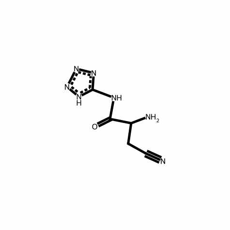 N#CCC(N)C(=O)Nc1nnn[nH]1